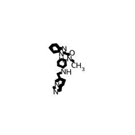 CCN(C(=O)c1nc2ccccc2[nH]1)[C@H]1CCC[C@@H](NCc2ccc3cncn3c2)C1